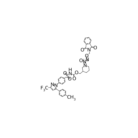 Cc1ccc(-c2cc(C(F)(F)F)nn2-c2ccc(S(=O)(=O)NC(=O)OCC3CCCN(/[N+]([O-])=N/OCN4C(=O)c5ccccc5C4=O)C3)cc2)cc1